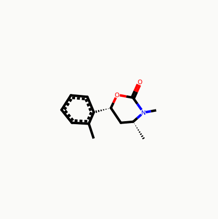 Cc1ccccc1[C@H]1C[C@@H](C)N(C)C(=O)O1